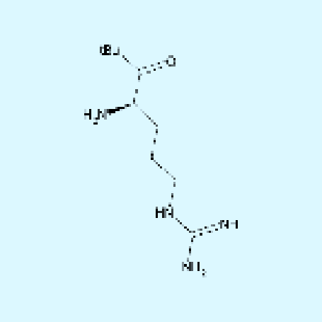 CC(C)(C)C(=O)[C@H](N)CCCNC(=N)N